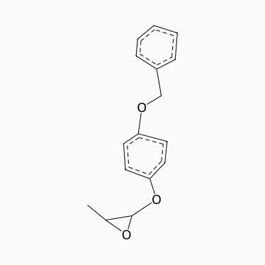 CC1OC1Oc1ccc(OCc2ccccc2)cc1